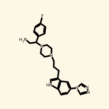 NCC(c1ccc(F)cc1)N1CCN(CCCc2c[nH]c3ccc(-n4cnnc4)cc23)CC1